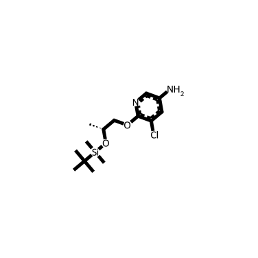 C[C@H](COc1ncc(N)cc1Cl)O[Si](C)(C)C(C)(C)C